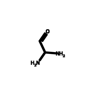 NC(N)C=O